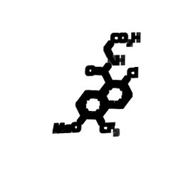 COc1ccc2c(C(=O)NCC(=O)O)c(Cl)ccc2c1C(F)(F)F